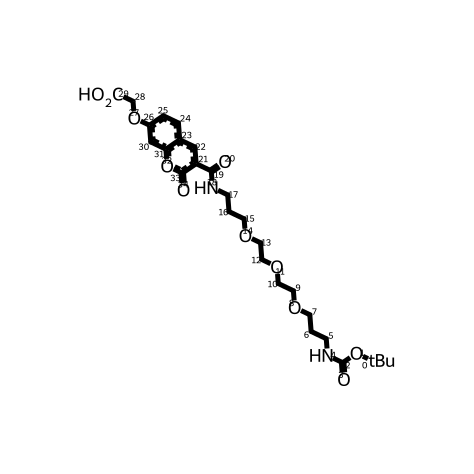 CC(C)(C)OC(=O)NCCCOCCOCCOCCCNC(=O)c1cc2ccc(OCC(=O)O)cc2oc1=O